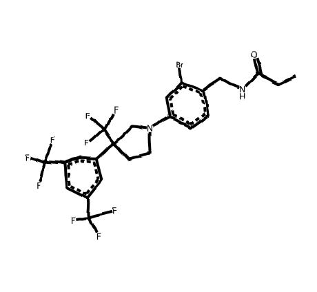 CCC(=O)NCc1ccc(N2CCC(c3cc(C(F)(F)F)cc(C(F)(F)F)c3)(C(F)(F)F)C2)cc1Br